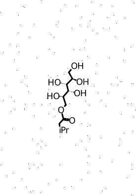 CC(C)CC(=O)OC[C@H](O)[C@@H](O)[C@H](O)[C@H](O)CO